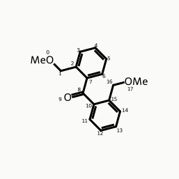 COCc1ccccc1C(=O)c1ccccc1COC